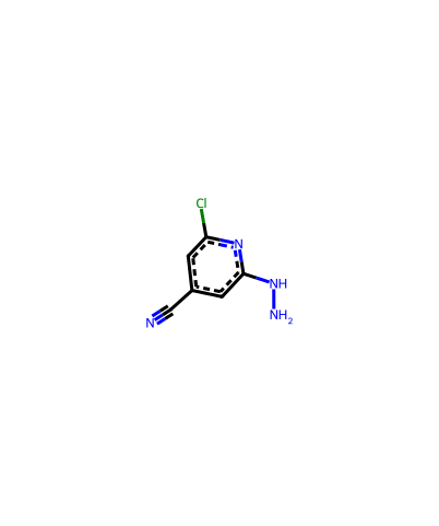 N#Cc1cc(Cl)nc(NN)c1